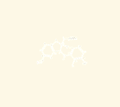 CNCC1(F)Cc2ccc(O)cc2C1Oc1cccc(F)c1C